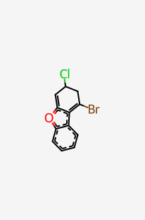 ClC1C=c2oc3ccccc3c2=C(Br)C1